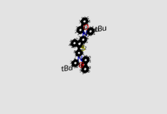 CC(C)(C)c1ccc(N(c2ccc3c(c2)sc2c4ccc(N(c5ccc(C(C)(C)C)cc5)c5cccc6c5oc5ccccc56)cc4c4ccccc4c32)c2cccc3c2oc2ccccc23)cc1